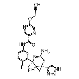 C#CCOc1cnc(C(=O)Nc2ccc(F)c([C@@]3(CF)N=C(N)S[C@@]4(c5c[nH]nn5)C[C@@H]34)c2)cn1